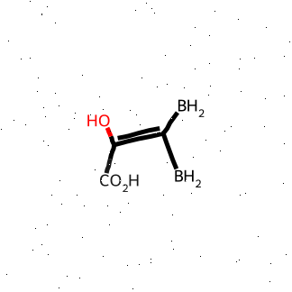 BC(B)=C(O)C(=O)O